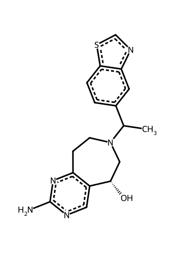 CC(c1ccc2scnc2c1)N1CCc2nc(N)ncc2[C@@H](O)C1